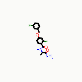 CC(NC(=O)c1ccc(OCc2cccc(F)c2)cc1F)C(N)=O